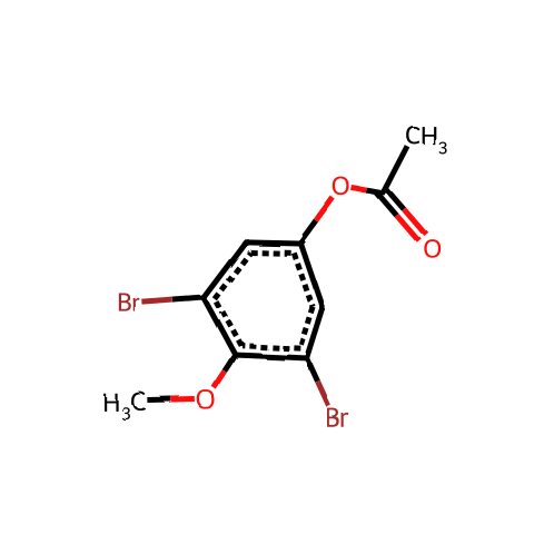 COc1c(Br)cc(OC(C)=O)cc1Br